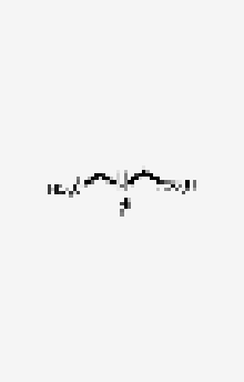 O=C(O)CNCC(=O)O.[Ni]